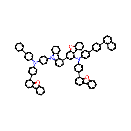 c1ccc(-c2ccc(N(c3ccc(-c4cccc5c4oc4ccccc45)cc3)c3ccc(-n4c5ccccc5c5c(-c6cc(N(c7ccc(-c8ccc(-c9cccc%10ccccc9%10)cc8)cc7)c7ccc(-c8cccc9c8oc8ccccc89)cc7)c7c(c6)oc6ccccc67)cccc54)cc3)cc2)cc1